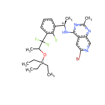 CC[Si](CC)(CC)OC(C)C(F)(F)c1cccc([C@@H](C)Nc2nc(C)nc3cnc(Br)cc23)c1F